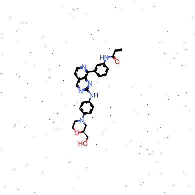 C=CC(=O)Nc1cccc(-c2nccc3cnc(Nc4ccc(N5CCO[C@H](CO)C5)cc4)nc23)c1